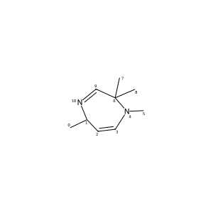 CC1C=CN(C)C(C)(C)C=N1